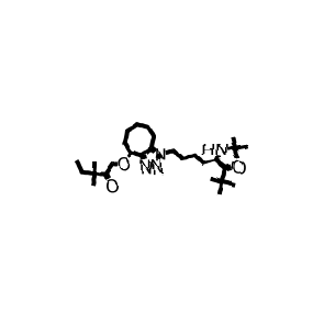 CCC(C)(C)C(=O)COC1CCCCCc2c1nnn2CCCC[C@@H](NC(C)(C)C)C(=O)C(C)(C)C